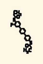 C=CC(=O)Sc1ccc(-c2ccc(-c3ccc(SC(=O)C=C)c(F)c3)cc2)cc1